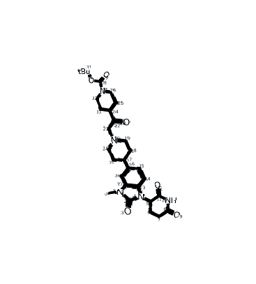 Cn1c(=O)n(C2CCC(=O)NC2=O)c2ccc(C3CCN(CC(=O)C4CCN(C(=O)OC(C)(C)C)CC4)CC3)cc21